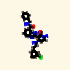 O=C(NCc1ccccc1)c1cccc2nc(-c3c(NCCc4cccc(Cl)c4)cc[nH]c3=O)[nH]c12